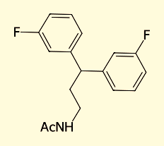 CC(=O)NCCC(c1cccc(F)c1)c1cccc(F)c1